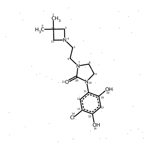 CC1(C)CN(CCN2CCN(c3cc(Cl)c(O)cc3O)C2=O)C1